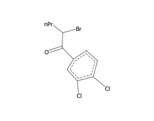 CCCC(Br)C(=O)c1ccc(Cl)c(Cl)c1